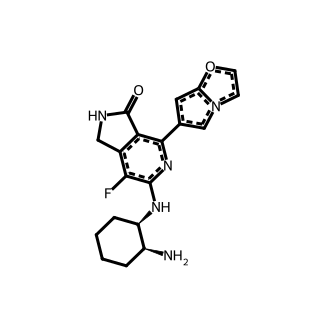 N[C@H]1CCCC[C@H]1Nc1nc(-c2cc3occn3c2)c2c(c1F)CNC2=O